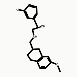 COc1ccc2c(c1)CC(CNC[C@H](O)c1cccc(Cl)c1)CC2